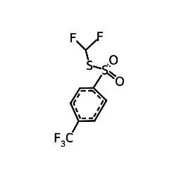 O=S(=O)(SC(F)F)c1ccc(C(F)(F)F)cc1